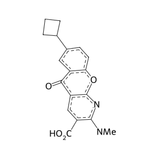 CNc1nc2oc3ccc(C4CCC4)cc3c(=O)c2cc1C(=O)O